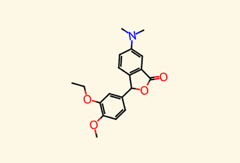 CCOc1cc(C2OC(=O)c3cc(N(C)C)ccc32)ccc1OC